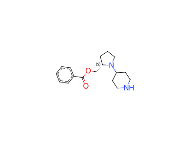 O=C(OC[C@@H]1CCCN1C1CCNCC1)c1ccccc1